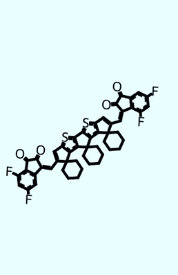 O=C1C(=O)c2c(F)cc(F)cc2/C1=C/C1=Cc2sc3c(c2C12CCCCC2)C1(CCCCC1)c1c-3sc2c1C1(CCCCC1)C(/C=C1\C(=O)C(=O)c3cc(F)cc(F)c31)=C2